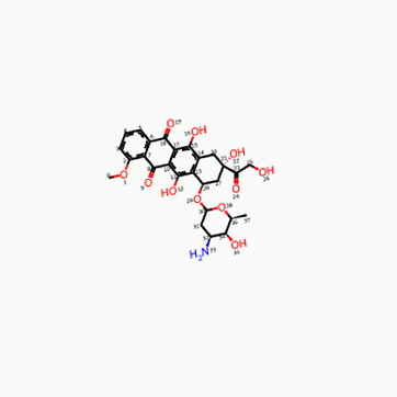 COc1cccc2c1C(=O)c1c(O)c3c(c(O)c1C2=O)C[C@@](O)(C(=O)CO)C[C@H]3OC1C[C@H](N)[C@H](O)[C@H](C)O1